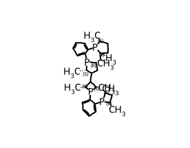 C[C@@H]1CC[C@H](C)P1c1ccccc1P1[C@H](C)CC(C2[C@@H](C)P(c3ccccc3P3[C@H](C)C[C@@H]3C)[C@H]2C)[C@@H]1C